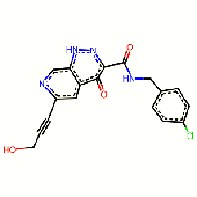 O=C(NCc1ccc(Cl)cc1)c1n[nH]c2cnc(C#CCO)cc2c1=O